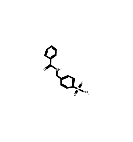 NS(=O)(=O)c1ccc(CNC(=O)c2ccccc2)cc1